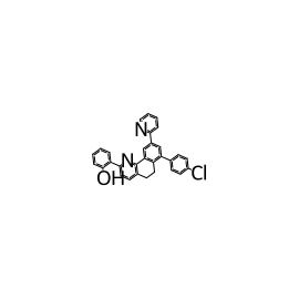 Oc1ccccc1-c1ccc2c(n1)-c1cc(-c3ccccn3)cc(-c3ccc(Cl)cc3)c1CC2